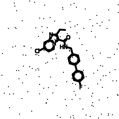 CCc1nc2cc(Cl)ccn2c1C(=O)NCc1ccc(-c2ccc(F)cc2)cc1